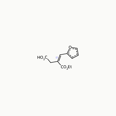 CCOC(=O)/C(=C\c1ccco1)CC(=O)O